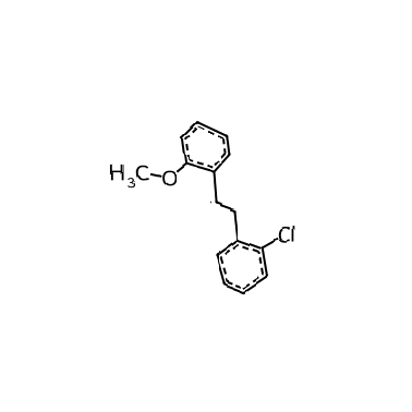 COc1ccccc1[CH]Cc1ccccc1Cl